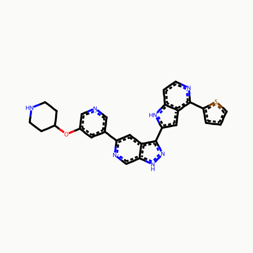 c1csc(-c2nccc3[nH]c(-c4n[nH]c5cnc(-c6cncc(OC7CCNCC7)c6)cc45)cc23)c1